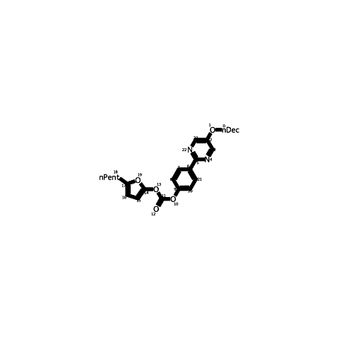 CCCCCCCCCCOc1cnc(-c2ccc(OC(=O)Oc3ccc(CCCCC)o3)cc2)nc1